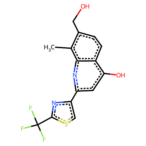 Cc1c(CO)ccc2c(O)cc(-c3csc(C(F)(F)F)n3)nc12